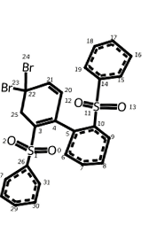 O=S(=O)(C1=C(c2ccccc2S(=O)(=O)c2ccccc2)C=CC(Br)(Br)C1)c1ccccc1